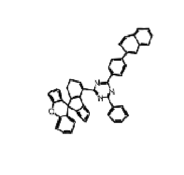 C1=C(c2nc(-c3ccccc3)nc(-c3ccc(-c4ccc5ccccc5c4)cc3)n2)C2=C(CC1)C1(c3ccccc3Oc3ccccc31)c1ccccc12